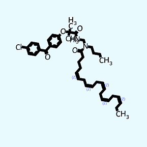 CC/C=C\C/C=C\C/C=C\C/C=C\C/C=C\CCCC(=O)N(CCCC)CNC(=O)C(C)(C)Oc1ccc(C(=O)c2ccc(Cl)cc2)cc1